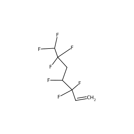 C=CC(F)(F)C(F)CC(F)(F)C(F)F